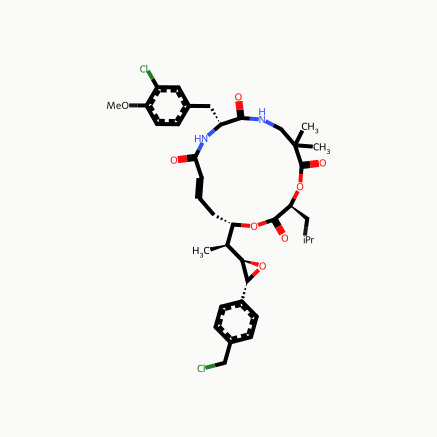 COc1ccc(C[C@H]2NC(=O)/C=C/C[C@@H]([C@H](C)[C@H]3O[C@@H]3c3ccc(CCl)cc3)OC(=O)[C@H](CC(C)C)OC(=O)C(C)(C)CNC2=O)cc1Cl